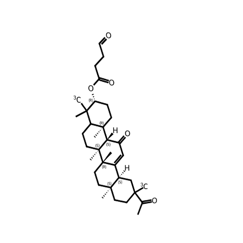 CC(=O)C1([3CH3])CC[C@@]2(C)CC[C@@]3(C)C(=CC(=O)[C@@H]4[C@]3(C)CCC3C(C)([3CH3])[C@H](OC(=O)CCC=O)CC[C@]34C)[C@H]2C1